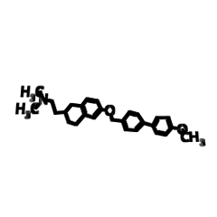 COc1ccc(-c2ccc(COc3ccc4c(c3)CCC(CCN(C)C)C4)cc2)cc1